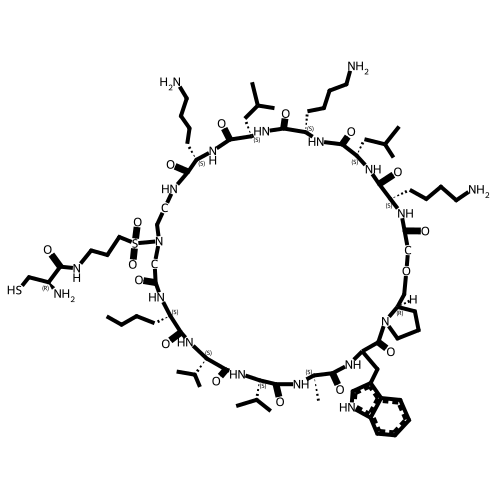 CCCC[C@@H]1NC(=O)CN(S(=O)(=O)CCCNC(=O)[C@@H](N)CS)CCNC(=O)[C@H](CCCCN)NC(=O)[C@H](CC(C)C)NC(=O)[C@H](CCCCN)NC(=O)[C@H](CC(C)C)NC(=O)[C@H](CCCCN)NC(=O)COC[C@H]2CCCN2C(=O)C(Cc2c[nH]c3ccccc23)NC(=O)[C@H](C)NC(=O)[C@H](C(C)C)NC(=O)[C@H](C(C)C)NC1=O